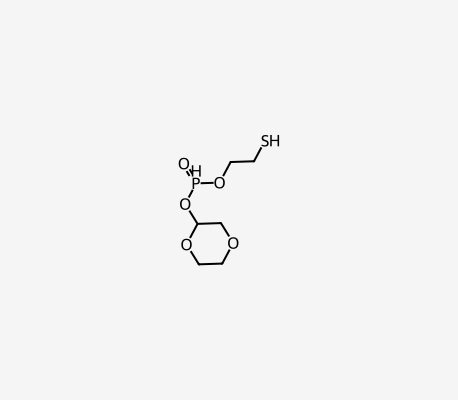 O=[PH](OCCS)OC1COCCO1